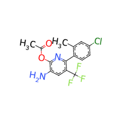 CC(=O)Oc1nc(-c2ccc(Cl)cc2C)c(C(F)(F)F)cc1N